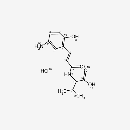 CC(C)C(NC(=O)C=Cc1cc(N)ccc1O)C(=O)O.Cl